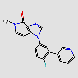 Cn1ccc2c(ncn2-c2ccc(F)c(-c3cccnc3)c2)c1=O